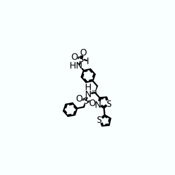 O=S(=O)(I)Nc1ccc(C[C@H](NS(=O)(=O)Cc2ccccc2)c2csc(-c3cccs3)n2)cc1